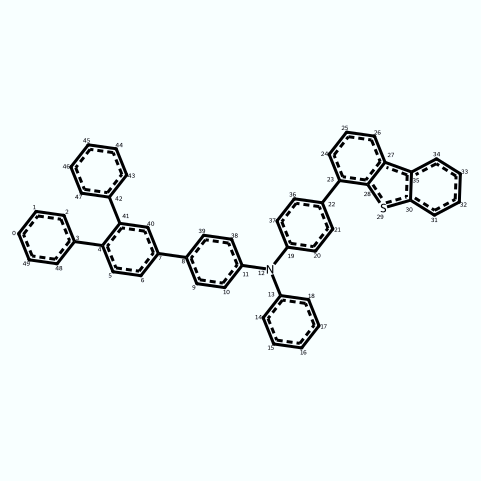 c1ccc(-c2ccc(-c3ccc(N(c4ccccc4)c4ccc(-c5cccc6c5sc5ccccc56)cc4)cc3)cc2-c2ccccc2)cc1